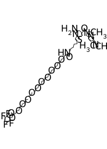 CCCN(Cc1ccc(CN(C)C)cn1)C(=O)C1=Cc2sc(CCCCCNC(=O)CCOCCOCCOCCOCCOCCOCCOCCOCCOCCOCCC(=O)Oc3c(F)c(F)cc(F)c3F)cc2N=C(N)C1